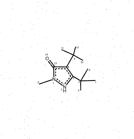 Cn1[nH]c(C(C)(C)C)c(C(C)(C)C)c1=O